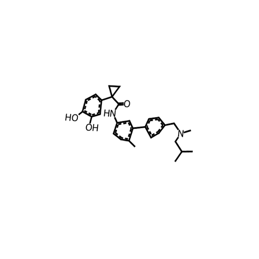 Cc1ccc(NC(=O)C2(c3ccc(O)c(O)c3)CC2)cc1-c1ccc(CN(C)CC(C)C)cc1